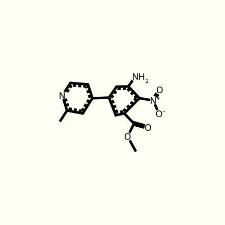 COC(=O)c1cc(-c2ccnc(C)c2)cc(N)c1[N+](=O)[O-]